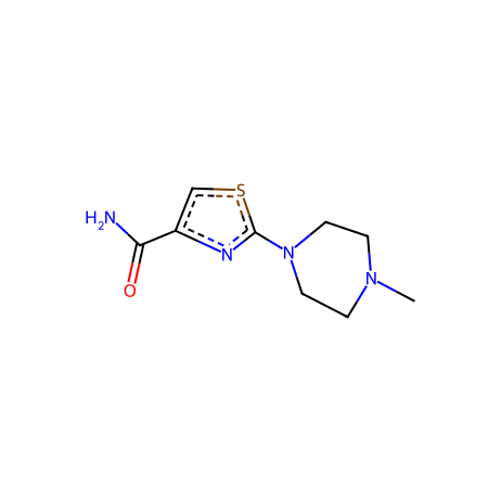 CN1CCN(c2nc(C(N)=O)cs2)CC1